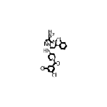 Bc1cnn2c(NC3CCN(C(=O)c4cc(Cl)cc(Cl)c4)CC3)cc(-c3ccccc3Cl)nc12